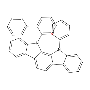 c1ccc(-c2ccccc2-n2c3ccccc3c3ccc4c5ccccc5n(-c5ccccc5)c4c32)cc1